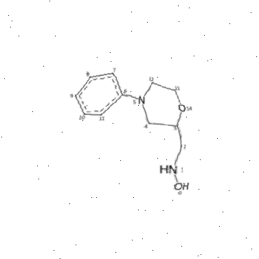 ONCC1CN(c2ccccc2)CCO1